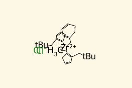 CC(C)(C)CC1=[C]([Zr+2]([CH3])([CH2]c2ccccc2)[C]2=C(CC(C)(C)C)C=CC2)CC=C1.[Cl-].[Cl-]